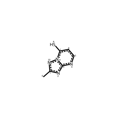 Cc1nc2nccc(S)n2n1